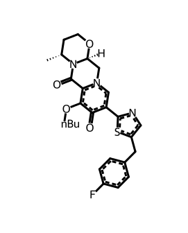 CCCCOc1c2n(cc(-c3ncc(Cc4ccc(F)cc4)s3)c1=O)C[C@@H]1OCC[C@@H](C)N1C2=O